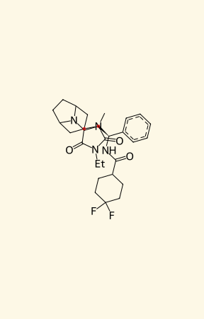 CCN1C(=O)N(C)C2(CC3CCC(C2)N3CC[C@H](NC(=O)C2CCC(F)(F)CC2)c2ccccc2)C1=O